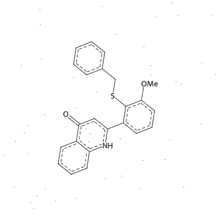 COc1cccc(-c2cc(=O)c3ccccc3[nH]2)c1SCc1ccccc1